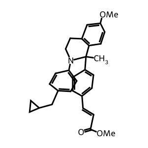 COC(=O)C=Cc1ccc(C2(C)c3ccc(OC)cc3CCN2c2ccc(CC3CC3)cc2)cc1